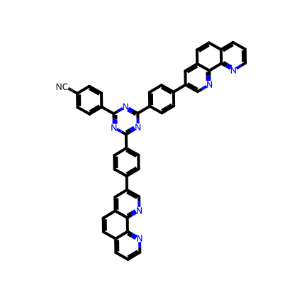 N#Cc1ccc(-c2nc(-c3ccc(-c4cnc5c(ccc6cccnc65)c4)cc3)nc(-c3ccc(-c4cnc5c(ccc6cccnc65)c4)cc3)n2)cc1